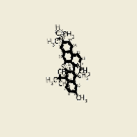 Cc1ccc2c(C(C)(C)C)c3c(c(C)c2c1)-c1c2c(cc4cc([Si](C)(C)C)ccc4c2cc[n+]1C)S3